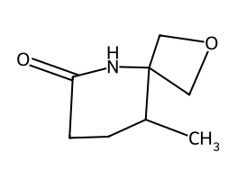 CC1CCC(=O)NC12COC2